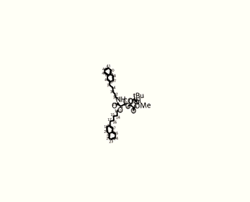 COC(=O)C(OC(=O)C(C)(C)C)OC(C(=O)O)C(OCCCCCc1ccc2ccccc2c1)C(=O)NCCCCCc1ccc2ccccc2c1